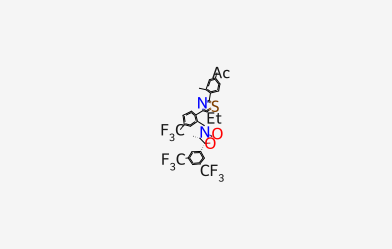 CCc1sc(-c2ccc(C(C)=O)cc2C)nc1-c1ccc(C(F)(F)F)cc1CN1C(=O)O[C@H](c2cc(C(F)(F)F)cc(C(F)(F)F)c2)[C@@H]1C